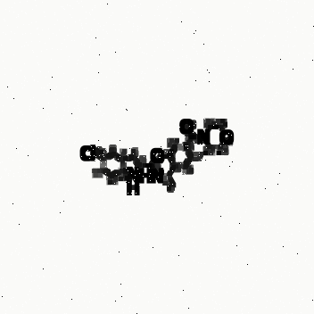 CC(NC(=O)c1cc2cc(Cl)ccc2[nH]1)c1ccc(C(=O)N2CCOCC2)cc1